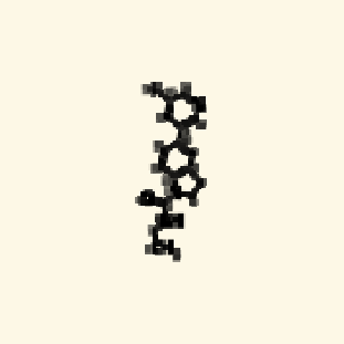 CCNC(=O)N1CCc2cc(-c3cncc(F)c3)ccc21